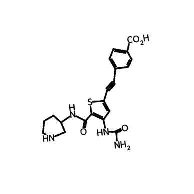 NC(=O)Nc1cc(C#Cc2ccc(C(=O)O)cc2)sc1C(=O)NC1CCCNC1